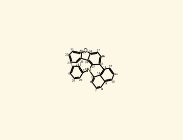 c1ccc(N2c3cccc4cccc(c34)-c3ccc4oc5ccccc5c4c32)cc1